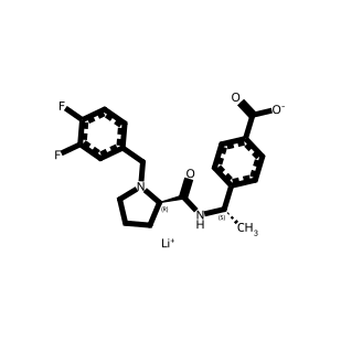 C[C@H](NC(=O)[C@H]1CCCN1Cc1ccc(F)c(F)c1)c1ccc(C(=O)[O-])cc1.[Li+]